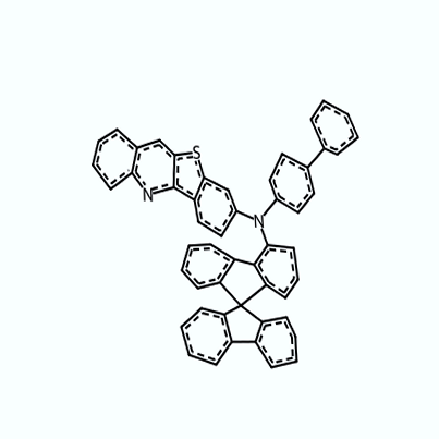 c1ccc(-c2ccc(N(c3ccc4c(c3)sc3cc5ccccc5nc34)c3cccc4c3-c3ccccc3C43c4ccccc4-c4ccccc43)cc2)cc1